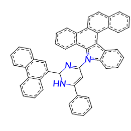 C1=C(c2ccccc2)NC(c2cc3ccccc3c3ccccc23)N=C1n1c2ccccc2c2c3c4ccccc4ccc3c3ccccc3c21